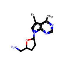 CCc1cn(C2CCC(CN)O2)c2ncnc(NC)c12